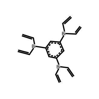 C=[CH][Bi]([CH]=C)[c]1c[c]([Bi]([CH]=C)[CH]=C)c[c]([Bi]([CH]=C)[CH]=C)c1